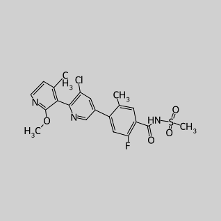 COc1nccc(C)c1-c1ncc(-c2cc(F)c(C(=O)NS(C)(=O)=O)cc2C)cc1Cl